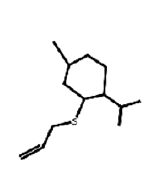 C=CCSC1CC(C)CCC1C(C)C